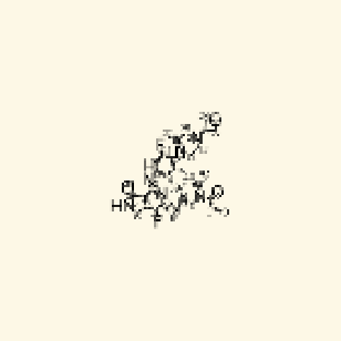 C=CC(=O)N1C[C@H](N(C)c2nc(Nc3ccc(N4CCN(C5COC5)C[C@@H]4C)c(F)c3)c3c(c2F)CNC3=O)CC[C@@H]1C